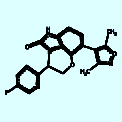 Cc1noc(C)c1-c1ccc2[nH]c(=O)n3c2c1OCC3c1ccc(F)cn1